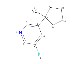 N#CC1(c2cncc(F)c2)CCCC1